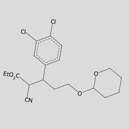 CCOC(=O)C(C#N)C(CCOC1CCCCO1)c1ccc(Cl)c(Cl)c1